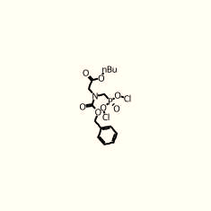 CCCCOC(=O)CN(CP(=O)(OCl)OCl)C(=O)OCc1ccccc1